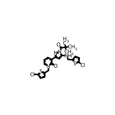 CC(C)(C)C(=O)n1nc(-c2cccn(Cc3ccc(Cl)s3)c2=O)cc1NCc1ccc(Cl)s1